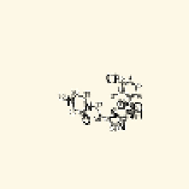 Cc1c(Cl)cccc1S(=O)(=O)Nc1ncc(CCN2CCN(C)CC2=O)s1